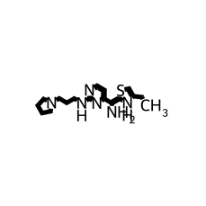 CCC1=CS/C(=C(/N)c2ccnc(NCCCN3CCCC3)n2)N1